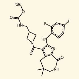 CC1(C)CNC(=O)c2sc(Nc3ccc(I)cc3F)c(C(=O)N3CC(CNC(=O)OC(C)(C)C)C3)c2C1